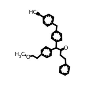 C#Cc1ccc(Cc2ccc(C(C(=O)CCc3ccccc3)c3ccc(CCOC)cc3)cc2)cc1